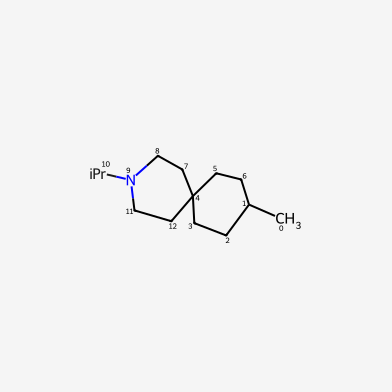 CC1CCC2(CC1)CCN(C(C)C)CC2